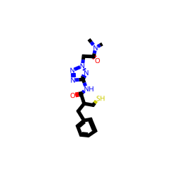 CN(C)C(=O)Cn1nnc(NC(=O)C(CS)Cc2ccccc2)n1